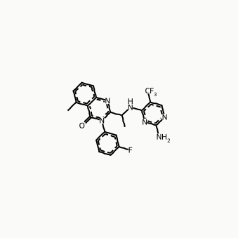 Cc1cccc2nc(C(C)Nc3nc(N)ncc3C(F)(F)F)n(-c3cccc(F)c3)c(=O)c12